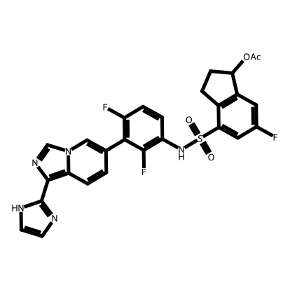 CC(=O)OC1CCc2c1cc(F)cc2S(=O)(=O)Nc1ccc(F)c(-c2ccc3c(-c4ncc[nH]4)ncn3c2)c1F